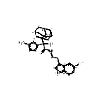 Cc1ccc(C(O)(C(=O)NCCc2c[nH]c3ccc(Cl)cc23)C23CC4CC(CC(C4)C2)C3)s1